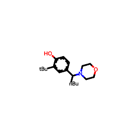 CCCCC(c1ccc(O)c(C(C)(C)C)c1)N1CCOCC1